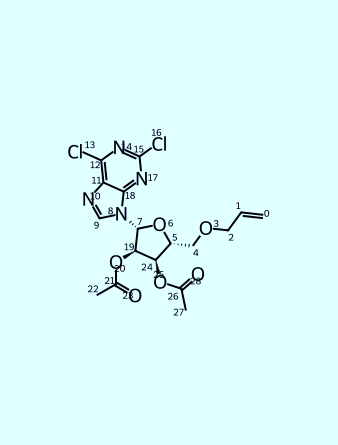 C=CCOC[C@H]1O[C@@H](n2cnc3c(Cl)nc(Cl)nc32)[C@H](OC(C)=O)[C@@H]1OC(C)=O